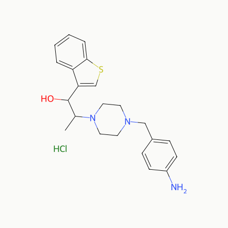 CC(C(O)c1csc2ccccc12)N1CCN(Cc2ccc(N)cc2)CC1.Cl